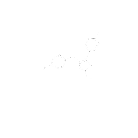 Cc1ncc(-n2nc(C(F)(F)F)cc2Cc2ncc(Cl)cn2)cn1